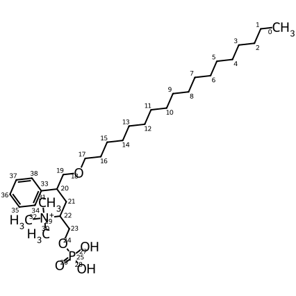 CCCCCCCCCCCCCCCCCCOCC(CC(COP(=O)(O)O)[N+](C)(C)C)c1ccccc1